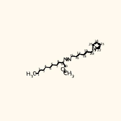 CCCCCCCCCC(COC)N=NCCCCCCn1cccc1